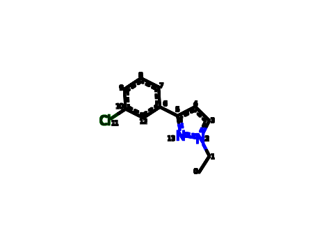 CCn1ccc(-c2cccc(Cl)c2)n1